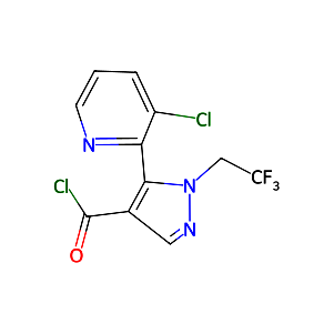 O=C(Cl)c1cnn(CC(F)(F)F)c1-c1ncccc1Cl